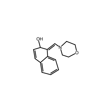 OC1C=Cc2ccccc2/C1=C\N1CCOCC1